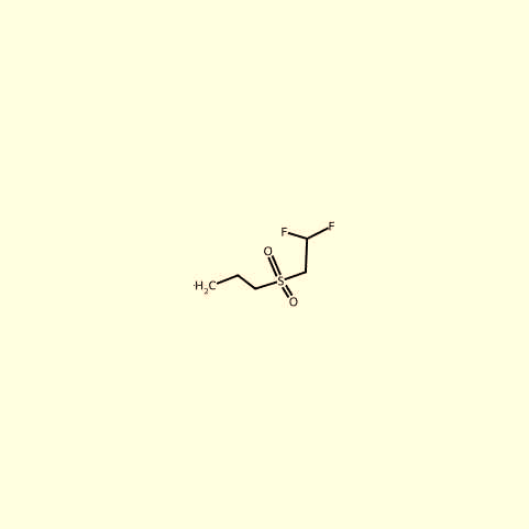 [CH2]CCS(=O)(=O)CC(F)F